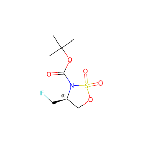 CC(C)(C)OC(=O)N1[C@H](CF)COS1(=O)=O